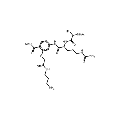 COC(=O)c1ccc(NC(=O)[C@H](CCCNC(N)=O)NC(=O)C(NC(C)=O)C(C)C)cc1OCC(=O)NCCCN